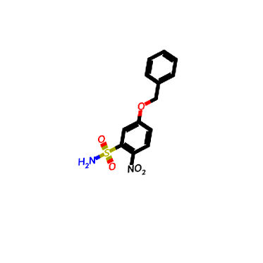 NS(=O)(=O)c1cc(OCc2ccccc2)ccc1[N+](=O)[O-]